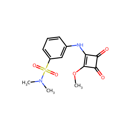 COc1c(Nc2cccc(S(=O)(=O)N(C)C)c2)c(=O)c1=O